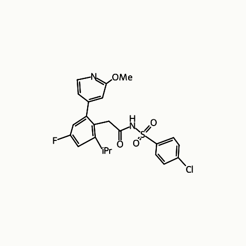 COc1cc(-c2cc(F)cc(C(C)C)c2CC(=O)NS(=O)(=O)c2ccc(Cl)cc2)ccn1